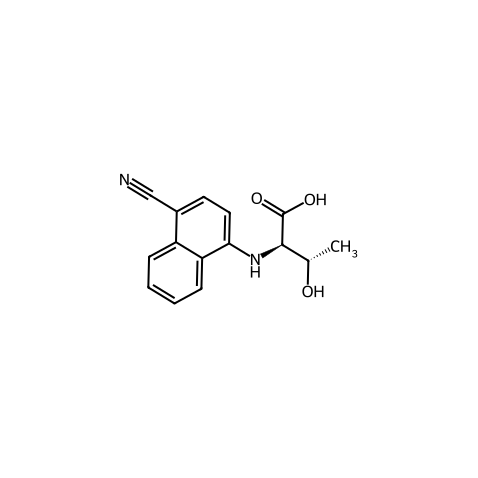 C[C@H](O)[C@@H](Nc1ccc(C#N)c2ccccc12)C(=O)O